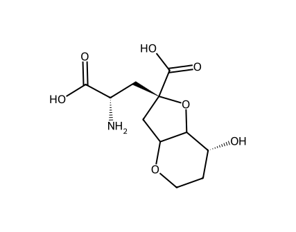 N[C@@H](C[C@]1(C(=O)O)CC2OCC[C@@H](O)C2O1)C(=O)O